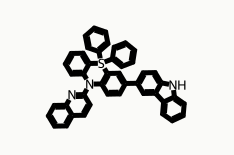 c1ccc(S2(c3ccccc3)c3ccccc3N(c3ccc4ccccc4n3)c3ccc(-c4ccc5[nH]c6ccccc6c5c4)cc32)cc1